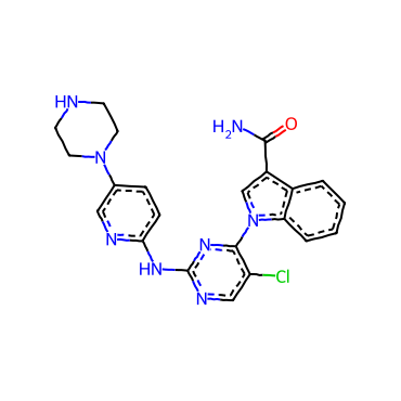 NC(=O)c1cn(-c2nc(Nc3ccc(N4CCNCC4)cn3)ncc2Cl)c2ccccc12